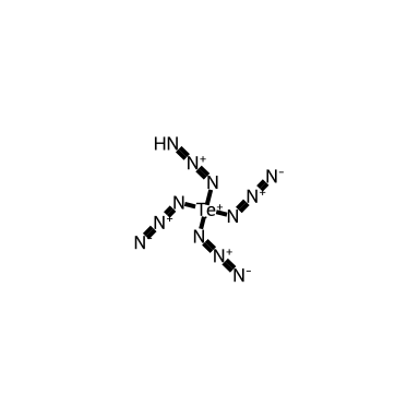 [N-]=[N+]=N[Te+](N=[N+]=[N-])(N=[N+]=[N-])N=[N+]=N